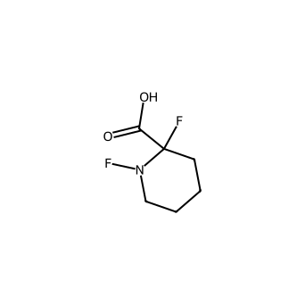 O=C(O)C1(F)CCCCN1F